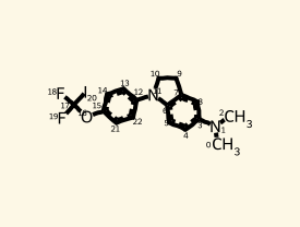 CN(C)c1ccc2c(c1)CCN2c1ccc(OC(F)(F)I)cc1